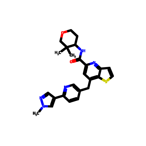 Cn1cc(-c2ccc(Cc3cc(C(=O)NC4CCOCC4(C)C)nc4ccsc34)cn2)cn1